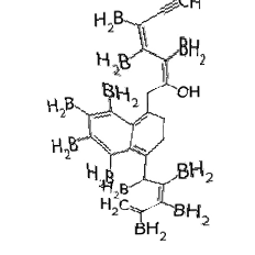 BC(=C)/C(B)=C(/B)C(B)C1=c2c(B)c(B)c(B)c(B)c2=C(C/C(O)=C(B)\C(B)=C(\B)C#C)CC1